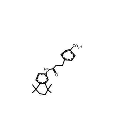 CC1(C)CCC(C)(C)c2cc(NC(=O)CCc3ccc(C(=O)O)cc3)ccc21